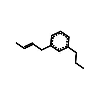 CC=CCc1cccc(CCC)c1